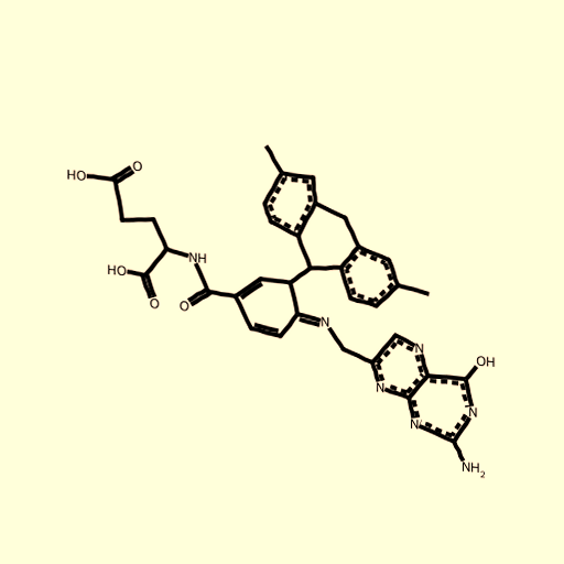 Cc1ccc2c(c1)Cc1cc(C)ccc1C2C1C=C(C(=O)NC(CCC(=O)O)C(=O)O)C=C/C1=N\Cc1cnc2c(O)nc(N)nc2n1